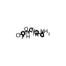 Nc1ccccc1-c1ccc(N2CCCC(NC(=O)c3ccc(Cl)c(F)c3)C2)nn1